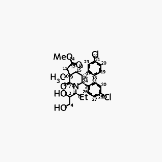 CC[C@@H](C(O)CO)N1C(=O)[C@@](C)(CC(=O)OC)C[C@H](c2cccc(Cl)c2)[C@H]1c1ccc(Cl)cc1